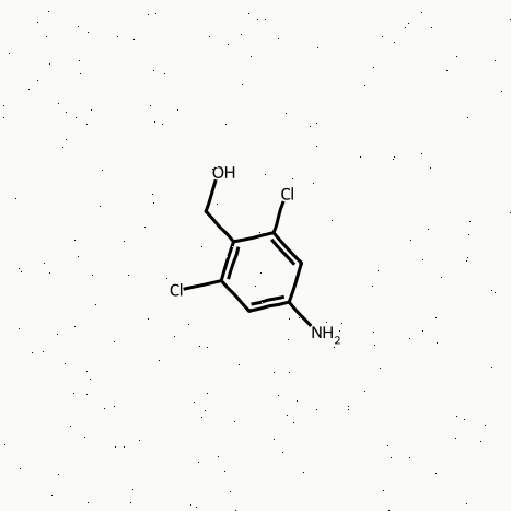 Nc1cc(Cl)c(CO)c(Cl)c1